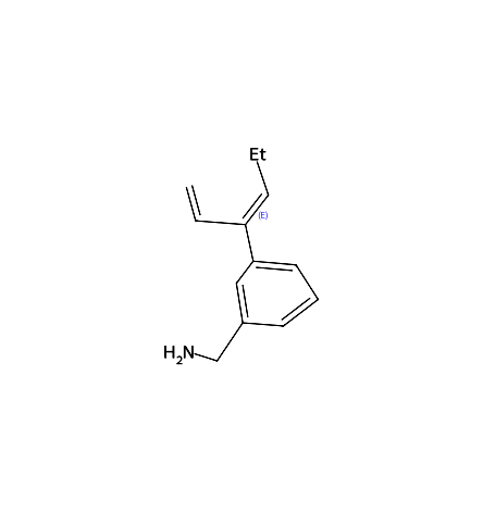 C=C/C(=C\CC)c1cccc(CN)c1